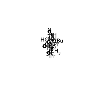 CC(C)c1nc(CN(C)C(=O)N[C@H](C(=O)N[C@@H](Cc2ccccc2)[C@H](O)CN2CCN(Cc3cncs3)C[C@H]2C(=O)NC(C)(C)C)C(C)C)cs1